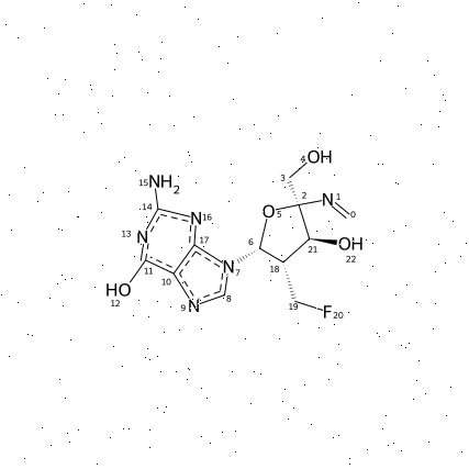 C=N[C@]1(CO)O[C@@H](n2cnc3c(O)nc(N)nc32)[C@@H](CF)[C@@H]1O